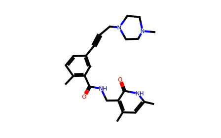 Cc1cc(C)c(CNC(=O)c2[c]c(C#CCN3CCN(C)CC3)ccc2C)c(=O)[nH]1